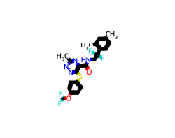 Cc1ccc(C(F)(F)CNC(=O)c2nc(C)nnc2Sc2ccc(OC(F)F)cc2)c(C)c1